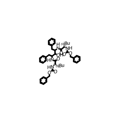 CC[C@H](C)[C@H](NC(=O)OCc1ccccc1)C(=O)NC(Cc1ccccc1)C(O)C(Cc1ccccc1)NC(=O)[C@@H](NC(=O)OCc1ccccc1)[C@@H](C)CC